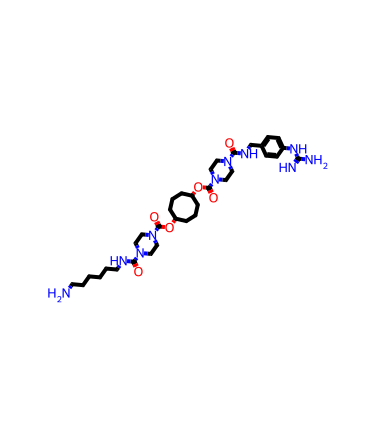 N=C(N)Nc1ccc(CNC(=O)N2CCN(C(=O)OC3CCCC(OC(=O)N4CCN(C(=O)NCCCCCCN)CC4)CCC3)CC2)cc1